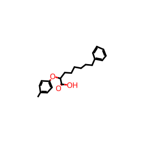 Cc1ccc(OC(CCCCCCc2ccccc2)C(=O)O)cc1